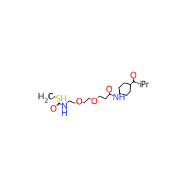 C=[SH]C(=O)NCCOCCOCCC(=O)N[C@H]1CC[C@@H](C(=O)C(C)C)CC1